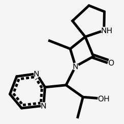 CC(O)C(c1ncccn1)N1C(=O)C2(CCCN2)C1C